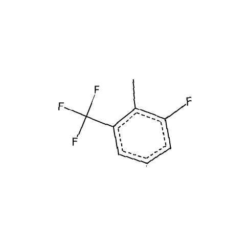 Cc1c(F)c[c]cc1C(F)(F)F